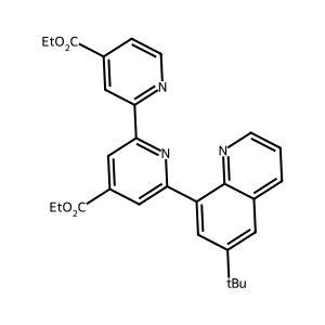 CCOC(=O)c1ccnc(-c2cc(C(=O)OCC)cc(-c3cc(C(C)(C)C)cc4cccnc34)n2)c1